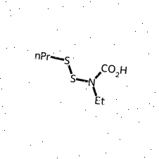 CCCSSN(CC)C(=O)O